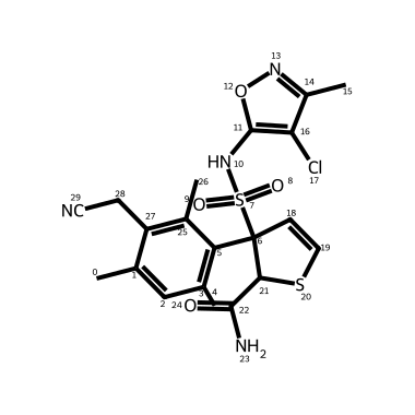 Cc1cc(C)c(C2(S(=O)(=O)Nc3onc(C)c3Cl)C=CSC2C(N)=O)c(C)c1CC#N